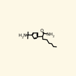 CCCCCCC(C(N)=O)c1ccc(C(C)(C)N)cc1